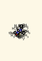 Cc1cc2c3c(c1)N(c1ccc(C(C)(C)C)cc1C)c1c(sc4c1C(C)(C)CCC4(C)C)B3c1cc3c(cc1N2c1ccc2c(c1)C(C)(C)CCC2(C)C)C(C)(C)CCC3(C)C